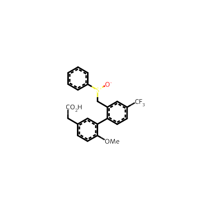 COc1ccc(CC(=O)O)cc1-c1ccc(C(F)(F)F)cc1C[S+]([O-])c1ccccc1